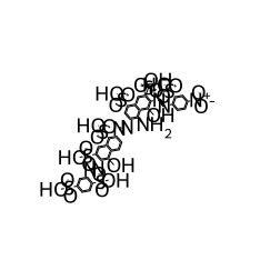 Nc1c(N=Nc2ccc3c(O)c(N=Nc4cc(S(=O)(=O)O)ccc4S(=O)(=O)O)c(S(=O)(=O)O)cc3c2S(=O)(=O)O)cc(S(=O)(=O)O)c2cc(S(=O)(=O)O)c(N=Nc3ccc([N+](=O)[O-])cc3S(=O)(=O)O)c(O)c12